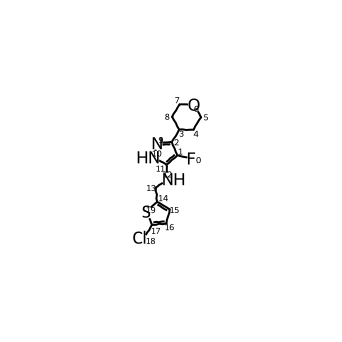 Fc1c(C2CCOCC2)n[nH]c1NCc1ccc(Cl)s1